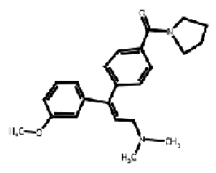 COc1cccc(C(=CCN(C)C)c2ccc(C(=O)N3CCCC3)cc2)c1